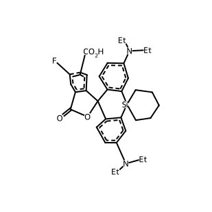 CCN(CC)c1ccc2c(c1)[Si]1(CCCCC1)c1cc(N(CC)CC)ccc1C21OC(=O)c2cc(F)c(C(=O)O)cc21